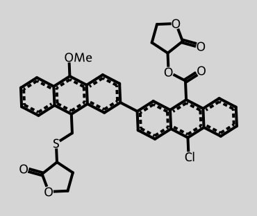 COc1c2ccccc2c(CSC2CCOC2=O)c2cc(-c3ccc4c(Cl)c5ccccc5c(C(=O)OC5CCOC5=O)c4c3)ccc12